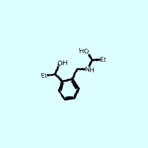 CC[C](O)NCc1ccccc1C(O)CC